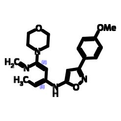 C=N/C(=C\C(=C/C)Nc1cc(-c2ccc(OC)cc2)no1)N1CCOCC1